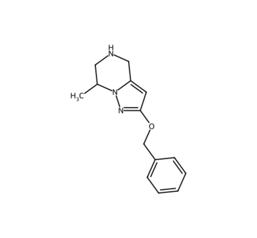 CC1CNCc2cc(OCc3ccccc3)nn21